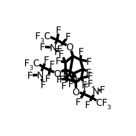 FN(F)C(F)(C(F)(F)F)C(F)(F)OC12C(F)(F)C3(F)C(F)(F)C(OC(F)(F)C(F)(N(F)F)C(F)(F)F)(C1(F)F)C(F)(F)C(OC(F)(F)C(F)(N(F)F)C(F)(F)F)(C3(F)F)C2(F)F